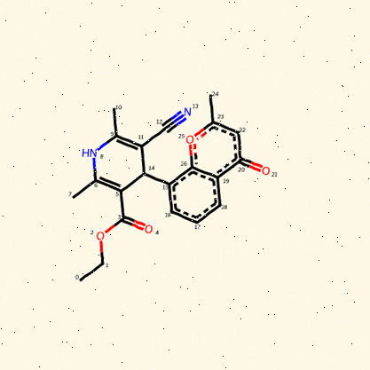 CCOC(=O)C1=C(C)NC(C)=C(C#N)C1c1cccc2c(=O)cc(C)oc12